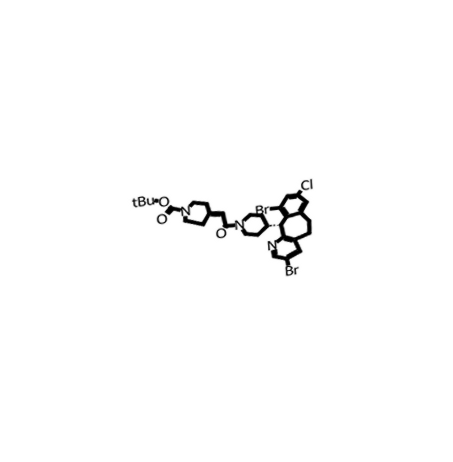 CC(C)(C)OC(=O)N1CCC(=CC(=O)N2CCC([C@H]3c4ncc(Br)cc4CCc4cc(Cl)cc(Br)c43)CC2)CC1